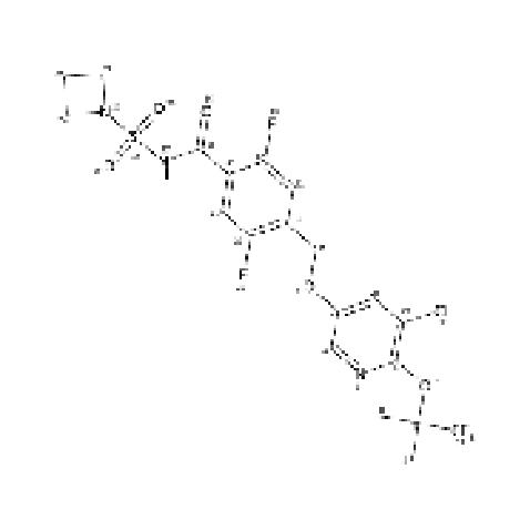 CC(C)(Oc1ncc(OCc2cc(F)c(C(=O)NS(=O)(=O)N3CCC3)cc2F)cc1Cl)C(F)(F)F